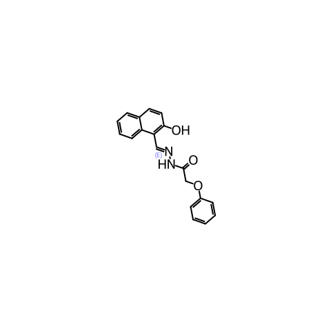 O=C(COc1ccccc1)N/N=C/c1c(O)ccc2ccccc12